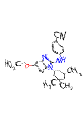 C[C@H]1C[C@@H](n2c(Nc3ccc(C#N)cc3)nc3cc(OCC(=O)O)ccc32)CC(C)(C)C1